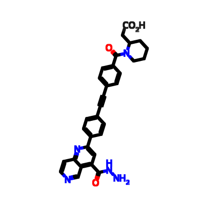 NNC(=O)c1cc(-c2ccc(C#Cc3ccc(C(=O)N4CCCCC4CC(=O)O)cc3)cc2)nc2ccncc12